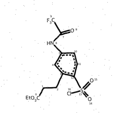 CCOC(=O)CCc1cc(NC(=O)C(F)(F)F)ccc1S(=O)(=O)Cl